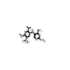 COc1nc(C(C)C)c(Nc2cnc(N)nc2N)cc1[SH](=O)=O